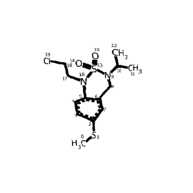 CSc1ccc2c(c1)CN(C(C)C)S(=O)(=O)N2CCCl